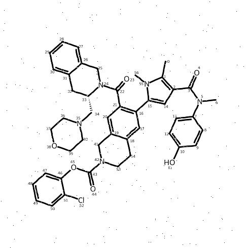 Cc1c(C(=O)N(C)c2ccc(O)cc2)cc(-c2cc3c(cc2C(=O)N2Cc4ccccc4C[C@H]2CN2CCOCC2)CN(C(=O)Oc2ccccc2Cl)CC3)n1C